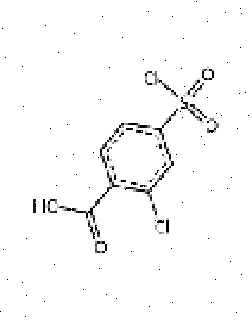 O=C(O)c1ccc(S(=O)(=O)Cl)cc1Cl